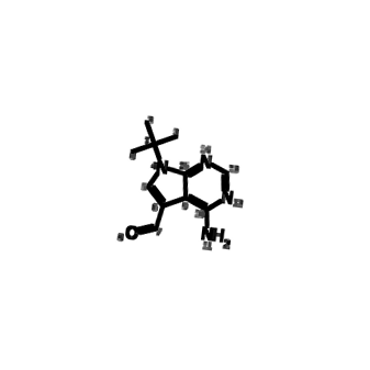 CC(C)(C)n1cc(C=O)c2c(N)ncnc21